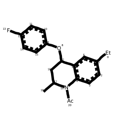 CCc1ccc2c(c1)C(Oc1ccc(F)cc1)CC(C)N2C(C)=O